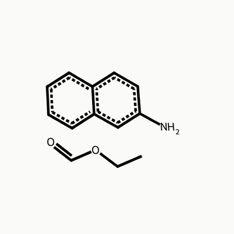 CCOC=O.Nc1ccc2ccccc2c1